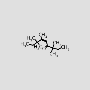 CCC(C)(C)C(=O)C=C(C)C(C)(C)CC